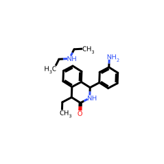 CCC1C(=O)NC(c2cccc(N)c2)c2ccccc21.CCNCC